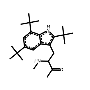 CNC(Cc1c(C(C)(C)C)[nH]c2c(C(C)(C)C)cc(C(C)(C)C)cc12)C(C)=O